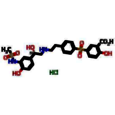 CS(=O)(=O)Nc1cc([C@H](O)CNCCc2ccc(S(=O)(=O)c3ccc(O)c(C(=O)O)c3)cc2)ccc1O.Cl